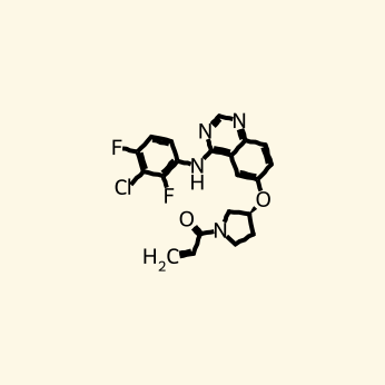 C=CC(=O)N1CC[C@H](Oc2ccc3ncnc(Nc4ccc(F)c(Cl)c4F)c3c2)C1